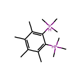 Cc1c(C)c(C)c([PH](C)(C)C)c([PH](C)(C)C)c1C